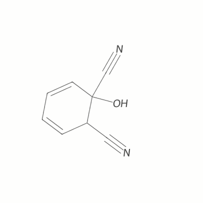 N#CC1C=CC=CC1(O)C#N